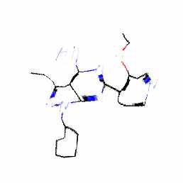 CCOc1cnccc1-c1nc(N)c2c(CC)nn(C3CCCC3)c2n1